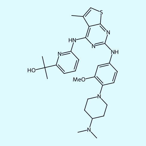 COc1cc(Nc2nc(Nc3cccc(C(C)(C)O)n3)c3c(C)csc3n2)ccc1N1CCC(N(C)C)CC1